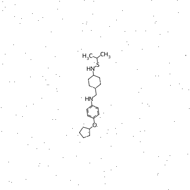 CC(C)SNC1CCC(CNc2ccc(OC3CCCC3)cc2)CC1